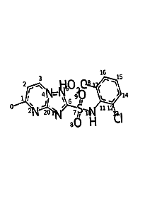 Cc1ccn2nc(S(=O)(=O)Nc3c(Cl)cccc3C(=O)O)nc2n1